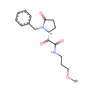 CC(C)OCCCNC(=O)C(=O)[C@H]1CCC(=O)N1Cc1ccccc1